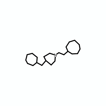 C1CCCC(CCN2CCC(CC3CCCCCC3)CC2)CCC1